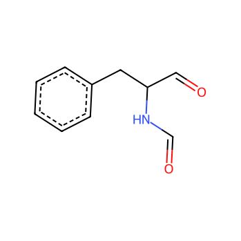 O=CNC(C=O)Cc1ccccc1